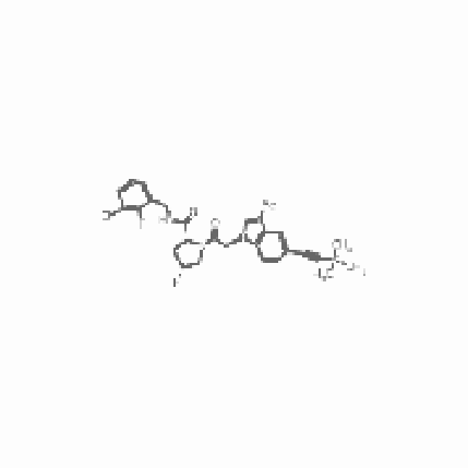 CC(=O)c1cn(CC(=O)N2C[C@H](F)C[C@H]2C(=O)NCc2cccc(Cl)c2F)c2ccc(C#C[Si](C)(C)C)cc12